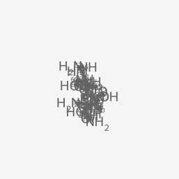 CC[C@H](C)[C@H](NC(=O)[C@H](CCC(=O)O)NC(=O)[C@H](CC(C)C)NC(=O)[C@H](CCCCN)NC(=O)[C@@H](NC(=O)CN)[C@@H](C)O)C(=O)N[C@H](C(=O)N[C@@H](CCCNC(=N)N)C(=O)N[C@@H](C)C(=O)O)[C@@H](C)CC